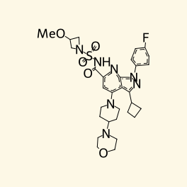 COC1CN(S(=O)(=O)NC(=O)c2cc(N3CCC(N4CCOCC4)CC3)c3c(C4CCC4)nn(-c4ccc(F)cc4)c3n2)C1